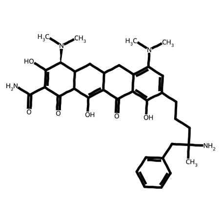 CN(C)c1cc(CCCC(C)(N)Cc2ccccc2)c(O)c2c1CC1CC3C(C(=O)C(C(N)=O)=C(O)[C@H]3N(C)C)C(O)=C1C2=O